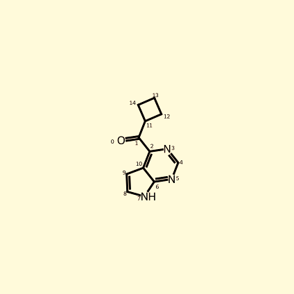 O=C(c1ncnc2[nH]ccc12)C1CCC1